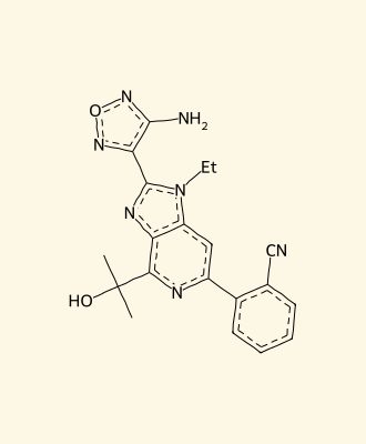 CCn1c(-c2nonc2N)nc2c(C(C)(C)O)nc(-c3ccccc3C#N)cc21